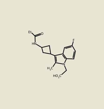 CCC(=O)NC1CC(c2c(C)n(CC(=O)O)c3ccc(F)cc23)C1